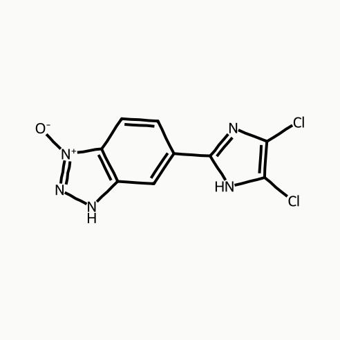 [O-][n+]1n[nH]c2cc(-c3nc(Cl)c(Cl)[nH]3)ccc21